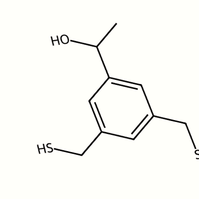 CC(O)c1cc(CS)cc(CS)c1